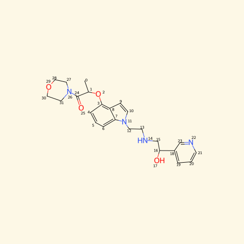 CC(Oc1cccc2c1ccn2CCNCC(O)c1cccnc1)C(=O)N1CCOCC1